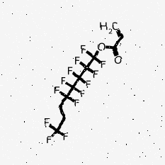 C=CC(=O)OC(F)(F)C(F)(F)C(F)(F)C(F)(F)C(F)(F)CCC(F)(F)F